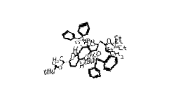 C=CC(C[C@H]1O[C@H]2[C@@H](O[Si](c3ccccc3)(c3ccccc3)C(C)(C)C)[C@H]3O[C@@H](C(C)OC(=O)C(C)(C)C)CC[C@@H]3O[C@H]2[C@H]1O[Si](c1ccccc1)(c1ccccc1)C(C)(C)C)O[Si](CC)(CC)CC